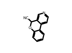 N#CC1Oc2ccccc2-c2ccncc21